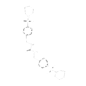 O=C(NCc1ccc(S(=O)(=O)N2CCCCC2)cc1)NCc1ccc(S(=O)(=O)N2CCCCC2)cc1